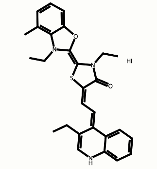 CCC1=CNc2ccccc2C1=CC=c1sc(=C2Oc3cccc(C)c3N2CC)n(CC)c1=O.I